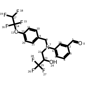 O=Cc1cccc(N(Cc2ccc(OC(F)(F)C(F)F)cc2)CC(O)C(F)(F)F)c1